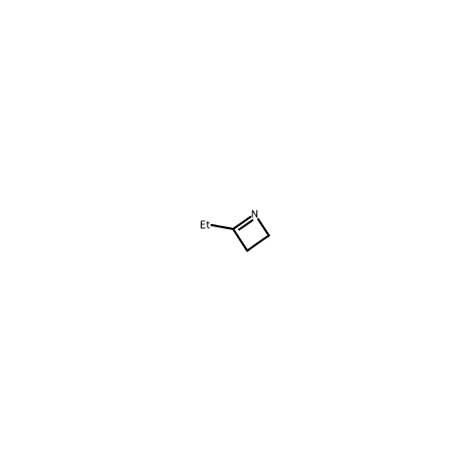 CCC1=NCC1